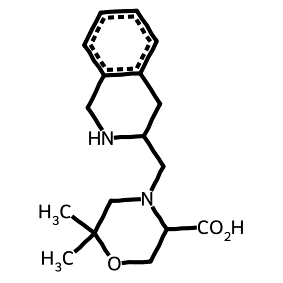 CC1(C)CN(CC2Cc3ccccc3CN2)C(C(=O)O)CO1